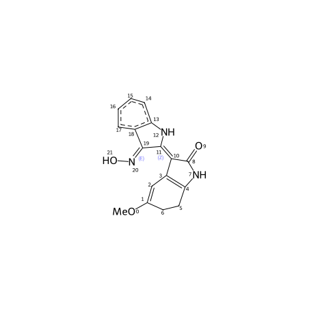 COC1=CC2=C(CC1)NC(=O)/C2=C1\Nc2ccccc2\C1=N/O